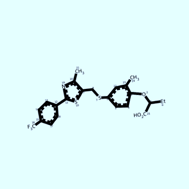 CCC(Oc1ccc(SCc2sc(-c3ccc(C(F)(F)F)cc3)nc2C)cc1C)C(=O)O